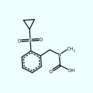 CN(Cc1ccccc1S(=O)(=O)C1CC1)C(=O)O